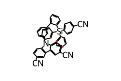 N#Cc1ccc([Si](c2ccccc2)(c2ccccc2)c2ccccc2-c2cccc(-n3c4ccc(C#N)cc4c4cc(C#N)ccc43)c2)cc1